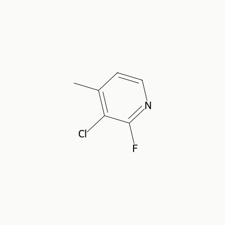 Cc1ccnc(F)c1Cl